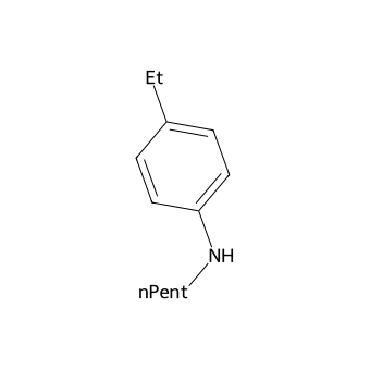 C[CH]CCCNc1ccc(CC)cc1